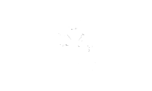 N=Cc1c(N)cc(Cl)cc1C(CC1CCCCC1)N=O